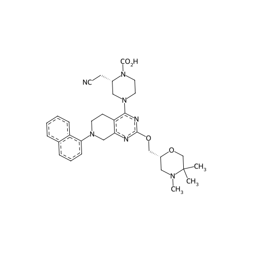 CN1C[C@H](COc2nc3c(c(N4CCN(C(=O)O)[C@@H](CC#N)C4)n2)CCN(c2cccc4ccccc24)C3)OCC1(C)C